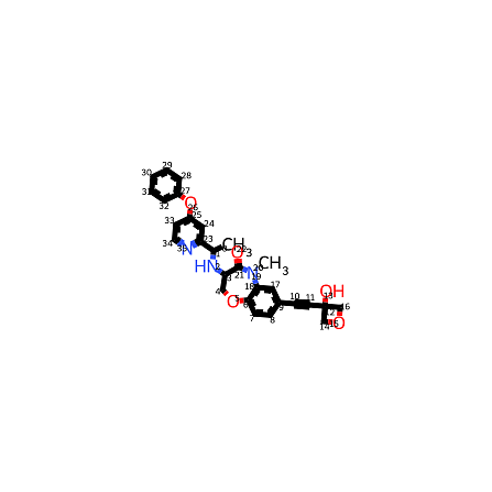 CC(NC1COc2ccc(C#CC3(O)COC3)cc2N(C)C1=O)c1cc(Oc2ccccc2)ccn1